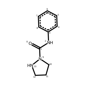 O=C(Nc1ccccc1)N1CCCN1